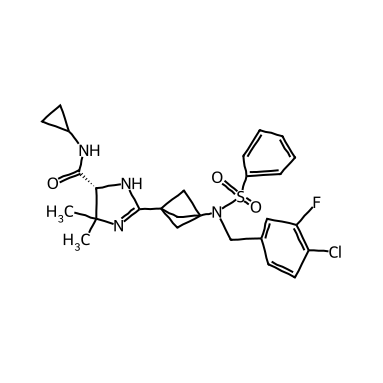 CC1(C)N=C(C23CC(N(Cc4ccc(Cl)c(F)c4)S(=O)(=O)c4ccccc4)(C2)C3)N[C@H]1C(=O)NC1CC1